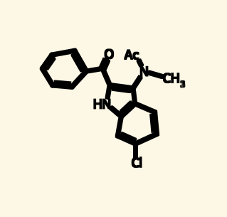 CC(=O)N(C)c1c(C(=O)c2ccccc2)[nH]c2cc(Cl)ccc12